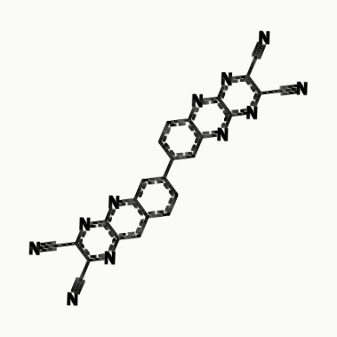 N#Cc1nc2cc3ccc(-c4ccc5nc6nc(C#N)c(C#N)nc6nc5c4)cc3nc2nc1C#N